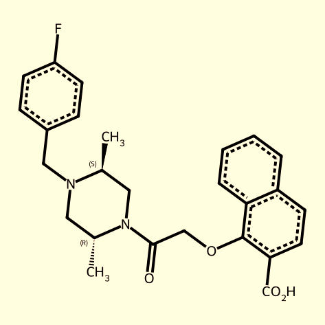 C[C@@H]1CN(Cc2ccc(F)cc2)[C@@H](C)CN1C(=O)COc1c(C(=O)O)ccc2ccccc12